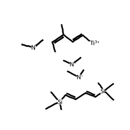 CC=C(C)C=[CH][Ti+3].C[N-]C.C[N-]C.C[N-]C.C[Si](C)(C)C=CC=C[Si](C)(C)C